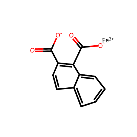 O=C([O-])c1ccc2ccccc2c1C(=O)[O-].[Fe+2]